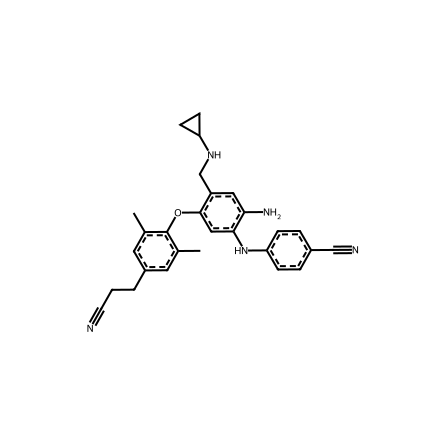 Cc1cc(CCC#N)cc(C)c1Oc1cc(Nc2ccc(C#N)cc2)c(N)cc1CNC1CC1